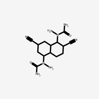 N#CC1CC2C(CCC(C#N)C2N(N)C(N)=O)C(N(N)C(N)=O)C1